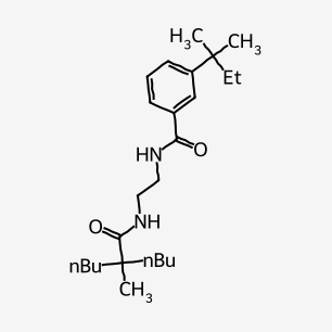 CCCCC(C)(CCCC)C(=O)NCCNC(=O)c1cccc(C(C)(C)CC)c1